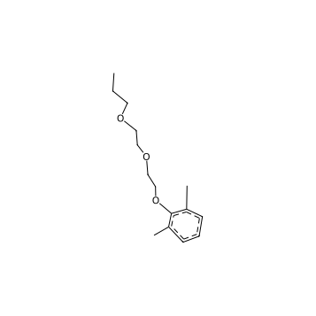 CCCOCCOCCOc1c(C)cccc1C